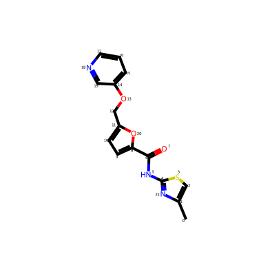 Cc1csc(NC(=O)c2ccc(COc3cccnc3)o2)n1